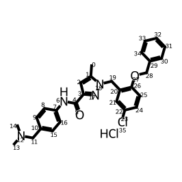 Cc1cc(C(=O)Nc2ccc(CN(C)C)cc2)nn1Cc1cc(Cl)ccc1OCc1ccccc1.Cl